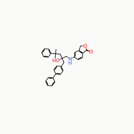 CC(C)(CC(O)(CNc1ccc2c(c1)COC2=O)Cc1ccc(-c2ccccc2)cc1)c1ccccc1